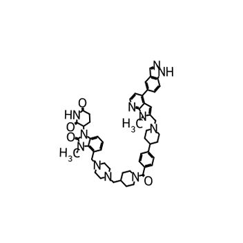 Cn1c(CN2CCC(c3ccc(C(=O)N4CCC(CN5CCN(Cc6cccc7c6n(C)c(=O)n7C6CCC(=O)NC6=O)CC5)CC4)cc3)CC2)cc2c(-c3ccc4[nH]ncc4c3)ccnc21